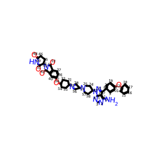 Nc1ncnc2c1c(-c1ccc(Oc3ccccc3)cc1)nn2C1CCN(C2CN(C3CCC(Oc4ccc5c(c4)C(=O)N(C4CCC(=O)NC4=O)C5=O)CC3)C2)CC1